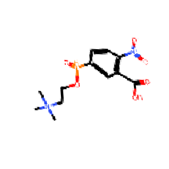 C[N+](C)(C)CCO[PH](=O)c1ccc([N+](=O)[O-])c(C(=O)O)c1